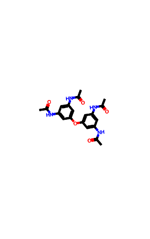 CC(=O)Nc1cc(NC(C)=O)cc(Oc2cc(NC(C)=O)cc(NC(C)=O)c2)c1